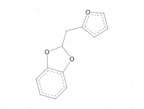 c1coc(CC2Oc3ccccc3O2)c1